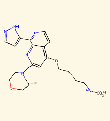 C[C@@H]1COCCN1c1cc(OCCCCNC(=O)O)c2ccnc(-c3ccn[nH]3)c2n1